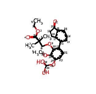 CCOC(=O)C(C)(C)COc1c(-c2cccc3c2CCC3=O)ccc(OC(O)O)c1OC